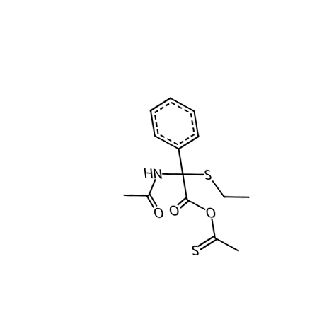 CCSC(NC(C)=O)(C(=O)OC(C)=S)c1ccccc1